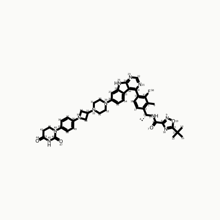 Cc1c([C@@H](C)NC(=O)c2noc(C(C)(C)C)n2)ccc(-c2ncnc3[nH]c4cc(N5CCN(C6CN(c7ccc(N8CCC(=O)NC8=O)cc7)C6)CC5)ccc4c23)c1F